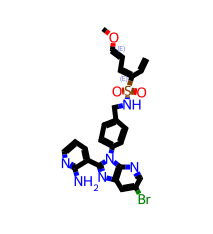 C=C/C(=C\C=C\OC)S(=O)(=O)NCc1ccc(-n2c(-c3cccnc3N)nc3cc(Br)cnc32)cc1